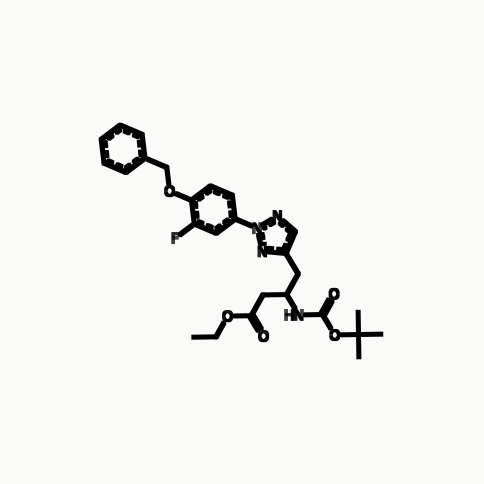 CCOC(=O)CC(Cc1cnn(-c2ccc(OCc3ccccc3)c(F)c2)n1)NC(=O)OC(C)(C)C